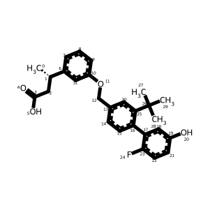 C[C@@H](CC(=O)O)c1cccc(OCc2ccc(-c3cc(O)ccc3F)c(C(C)(C)C)c2)c1